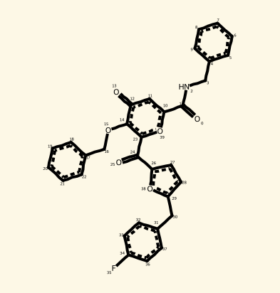 O=C(NCc1ccccc1)c1cc(=O)c(OCc2ccccc2)c(C(=O)c2ccc(Cc3ccc(F)cc3)o2)o1